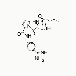 CCCCS(=O)(=O)N[C@H](CO)C(=O)N1CC=CC1C(=O)NCc1ccc(C(=N)N)cc1